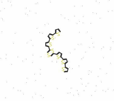 C1=C(c2ccc(-c3ccc(-c4cccs4)s3)s2)SC(c2ccc(-c3ccc(-c4cccs4)s3)s2)=CS1